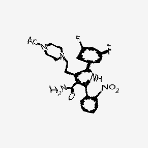 CC(=O)N1CCN(CCc2c(-c3cc(F)cc(F)c3)[nH]c(-c3ccccc3[N+](=O)[O-])c2C(N)=O)CC1